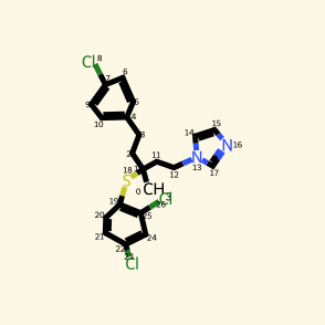 CC(CCc1ccc(Cl)cc1)(CCn1ccnc1)Sc1ccc(Cl)cc1Cl